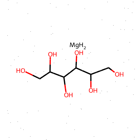 OCC(O)C(O)C(O)C(O)CO.[MgH2]